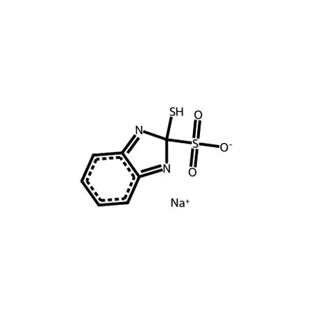 O=S(=O)([O-])C1(S)N=c2ccccc2=N1.[Na+]